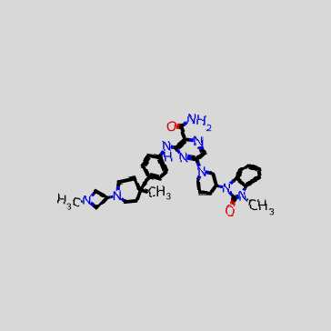 CN1CC(N2CCC(C)(c3ccc(Nc4nc(N5CCCC(n6c(=O)n(C)c7ccccc76)C5)cnc4C(N)=O)cc3)CC2)C1